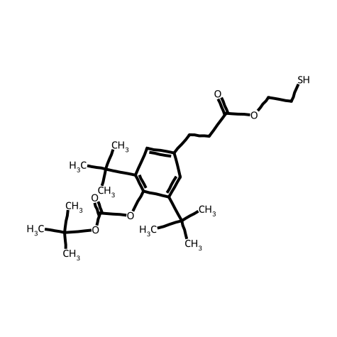 CC(C)(C)OC(=O)Oc1c(C(C)(C)C)cc(CCC(=O)OCCS)cc1C(C)(C)C